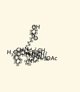 C=C(/C=C/C=C1/N(CCCCCC(=O)N2CCC(O)CC2)c2cc3c(cc2C1(C)C)-c1c(ccc2ccccc12)C3(C)C)C(C)(C)c1cc(N2CCCC2)ccc1NCCCOC(C)=O